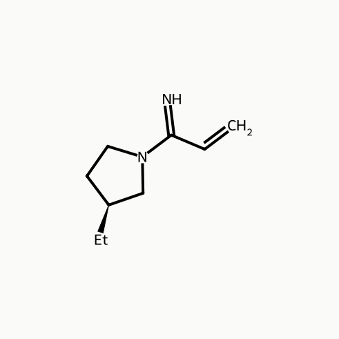 C=CC(=N)N1CC[C@H](CC)C1